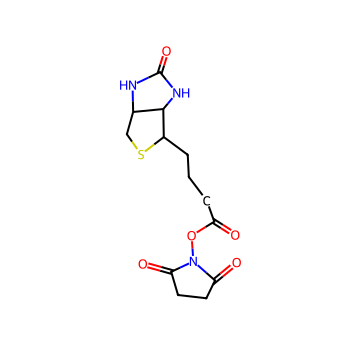 O=C1NC2CSC(CCCC(=O)ON3C(=O)CCC3=O)C2N1